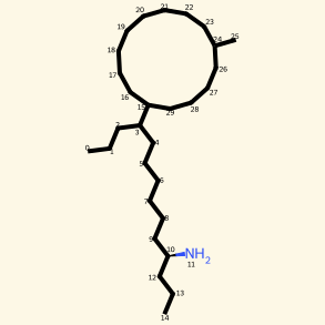 CCCC(CCCCCC[C@@H](N)CCC)C1CCCCCCCCC(C)CCCC1